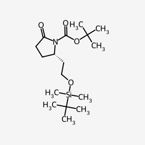 CC(C)(C)OC(=O)N1C(=O)CC[C@H]1CCO[Si](C)(C)C(C)(C)C